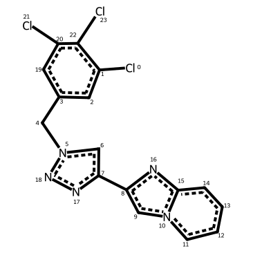 Clc1cc(Cn2cc(-c3cn4ccccc4n3)nn2)cc(Cl)c1Cl